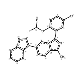 Cc1nn(-c2cc(Cl)ccc2OC(F)F)c2cc(-c3cnn4cccnc34)cnc12